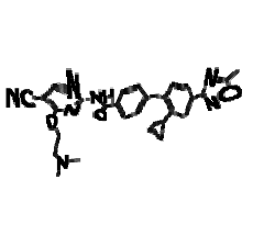 Cc1nc(-c2ccc(-c3ccc(C(=O)Nc4ncc(C#N)c(OCCN(C)C)n4)cc3)c(C3CC3)c2)no1